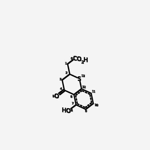 O=C(O)CC1CC(=O)c2c(O)cccc2S1